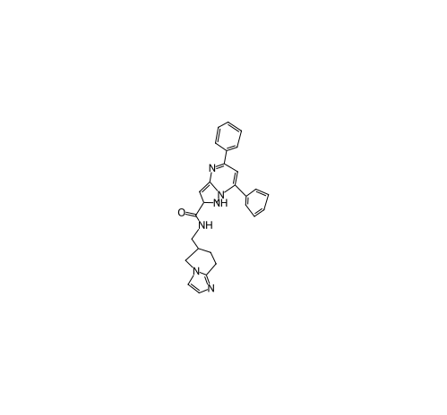 O=C(NCC1CCc2nccn2C1)C1C=C2N=C(c3ccccc3)C=C(c3ccccc3)N2N1